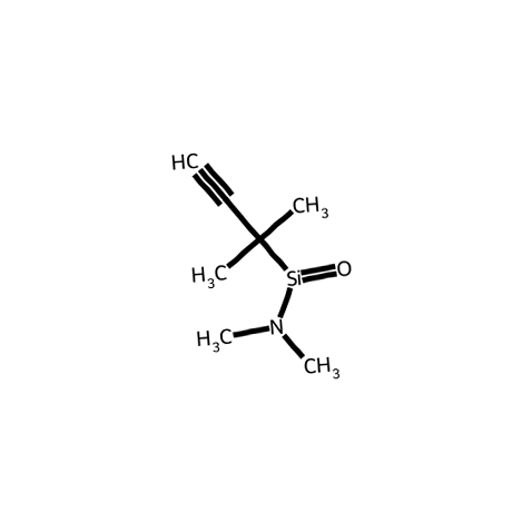 C#CC(C)(C)[Si](=O)N(C)C